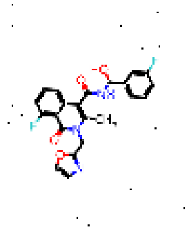 Cc1c(C(=O)N[C@@H](O)c2cccc(F)c2)c2cccc(F)c2c(=O)n1Cc1ncco1